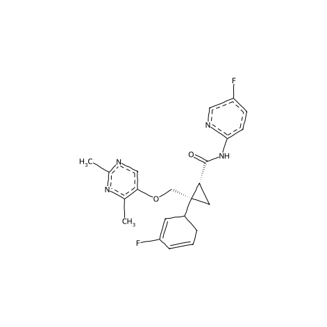 Cc1ncc(OC[C@@]2(C3C=C(F)C=CC3)C[C@H]2C(=O)Nc2ccc(F)cn2)c(C)n1